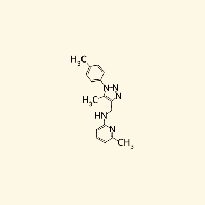 Cc1ccc(-n2nnc(CNc3cccc(C)n3)c2C)cc1